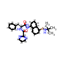 CC(C)(C)NSc1cccc2c(NC(=O)[C@H](Cc3ccccc3)NC(=O)c3ncccn3)cccc12